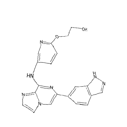 OCCOc1ccc(Nc2nc(-c3ccc4cn[nH]c4c3)cn3ccnc23)cn1